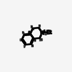 CCN1C[C]c2ccccc2C1